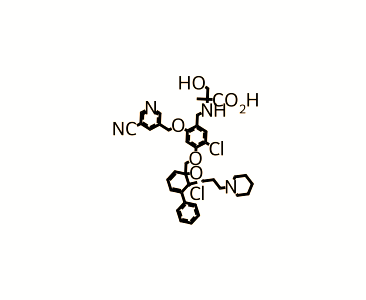 CC(CO)(NCc1cc(Cl)c(OCC2(OCCCN3CCCCC3)C=CC=C(c3ccccc3)C2(C)Cl)cc1OCc1cncc(C#N)c1)C(=O)O